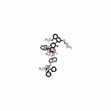 CCc1cccc2cc(OCOC)cc(-c3ccc4c(N5CC6CCC(C5)N6C(=O)OC(C)(C)C)nc(OC[C@]56CCCN5[C@H](CO[Si](c5ccccc5)(c5ccccc5)C(C)(C)C)CC6)nc4c3F)c12